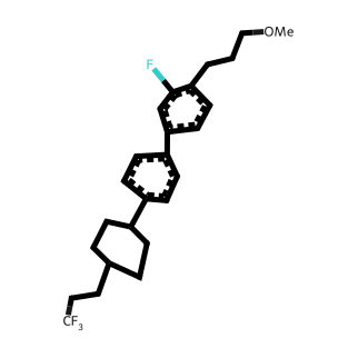 COCCCc1ccc(-c2ccc(C3CCC(CCC(F)(F)F)CC3)cc2)cc1F